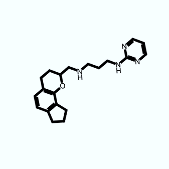 c1cnc(NCCCNCC2CCc3ccc4c(c3O2)CCC4)nc1